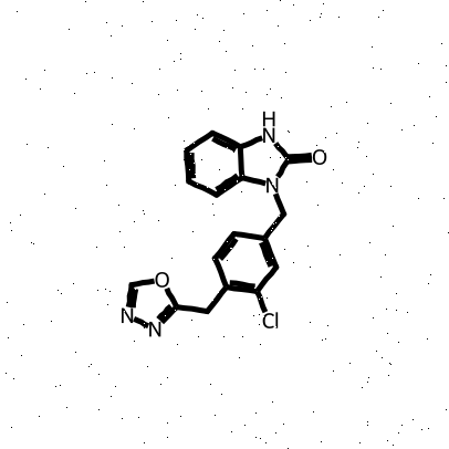 O=c1[nH]c2ccccc2n1Cc1ccc(Cc2nnco2)c(Cl)c1